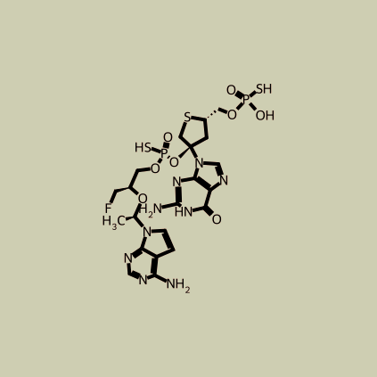 C[C@@H](O[C@@H](CF)COP(=O)(S)O[C@@]1(n2cnc3c(=O)[nH]c(N)nc32)CS[C@H](COP(=O)(O)S)C1)n1ccc2c(N)ncnc21